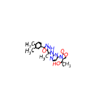 Cc1ccc(-c2nnc([C@H](C)Nc3nccc(N4C(=O)OCC4[C@@H](C)O)n3)o2)cc1C